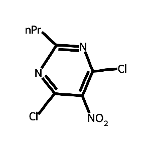 CCCc1nc(Cl)c([N+](=O)[O-])c(Cl)n1